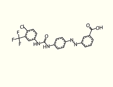 O=C(Nc1ccc(N=Nc2cccc(C(=O)O)c2)cc1)Nc1ccc(Cl)c(C(F)(F)F)c1